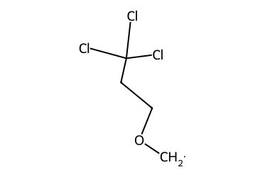 [CH2]OCCC(Cl)(Cl)Cl